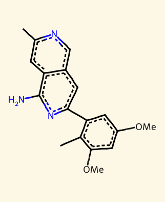 COc1cc(OC)c(C)c(-c2cc3cnc(C)cc3c(N)n2)c1